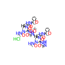 CC(C)NC(=O)N1CC[C@H]2CC[C@@H](C(=O)N[C@@H]3CCOc4ccccc43)N2C(=O)[C@@H](NC(=O)[C@H](C)N(C)C(=O)OC(C)(C)C)C1.CN[C@@H](C)C(=O)N[C@H]1CN(C(=O)NC(C)C)CC[C@H]2CC[C@@H](C(=O)N[C@@H]3CCOc4ccccc43)N2C1=O.Cl